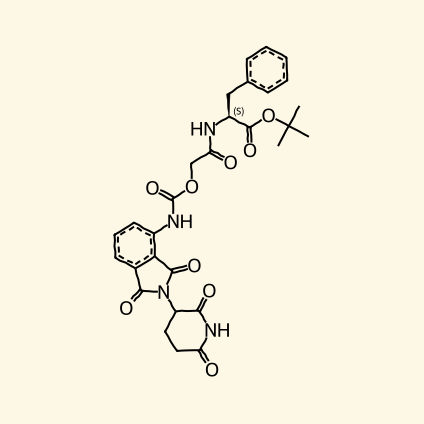 CC(C)(C)OC(=O)[C@H](Cc1ccccc1)NC(=O)COC(=O)Nc1cccc2c1C(=O)N(C1CCC(=O)NC1=O)C2=O